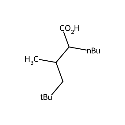 CCCCC(C(=O)O)C(C)CC(C)(C)C